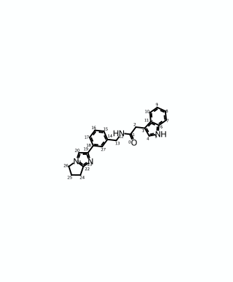 O=C(Cc1c[nH]c2ccccc12)NCc1cccc(-c2cn3c(n2)CCC3)c1